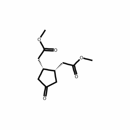 COC(=O)C[C@H]1CC(=O)C[C@H]1CC(=O)OC